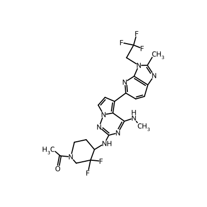 CNc1nc(NC2CCN(C(C)=O)CC2(F)F)nn2ccc(-c3ccc4nc(C)n(CC(F)(F)F)c4n3)c12